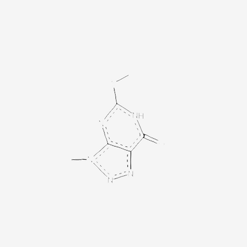 CSc1nc2c(nnn2C)c(=O)[nH]1